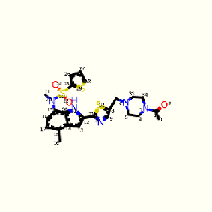 CC(=O)N1CCN(Cc2cnc(-c3cc4c(C)ccc(N(C)S(=O)(=O)c5cccs5)c4[nH]3)s2)CC1